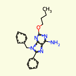 CCCCOc1nc(N)c2nc(-c3ccccc3)n(Cc3ccccc3)c2n1